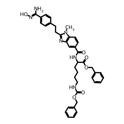 Cn1c(CCc2ccc(C(N)=NO)cc2)nc2cc(C(=O)NC(CCCCNC(=O)OCc3ccccc3)C(=O)OCc3ccccc3)ccc21